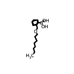 CCCCCCCCOCc1ccccc1B(O)O